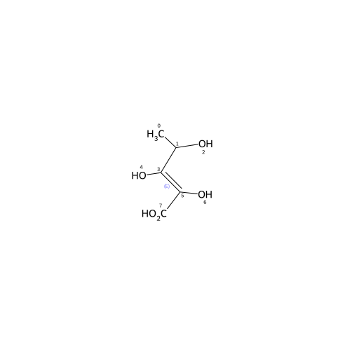 CC(O)/C(O)=C(\O)C(=O)O